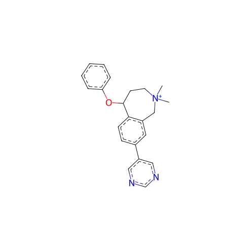 C[N+]1(C)CCC(Oc2ccccc2)c2ccc(-c3cncnc3)cc2C1